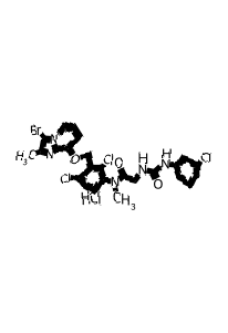 Cc1nc2c(OCc3c(Cl)ccc(N(C)C(=O)CNC(=O)Nc4cccc(Cl)c4)c3Cl)cccn2c1Br.Cl